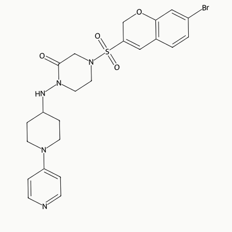 O=C1CN(S(=O)(=O)C2=Cc3ccc(Br)cc3OC2)CCN1NC1CCN(c2ccncc2)CC1